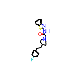 O=C(CN1CCC(CCc2ccc(F)cc2)CC1)Nc1nc2ccccc2s1